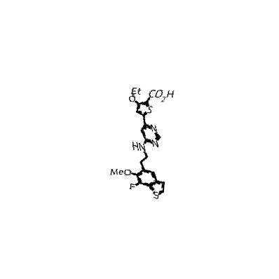 CCOc1cc(-c2cc(NCCc3cc4ccsc4c(F)c3OC)ncn2)sc1C(=O)O